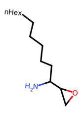 CCCCCCCCCCCC(N)C1CO1